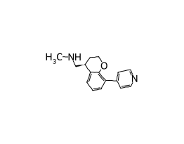 CNC[C@H]1CCOc2c(-c3ccncc3)cccc21